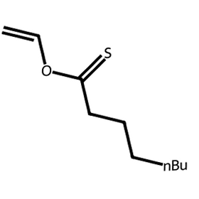 C=COC(=S)CCCCCCC